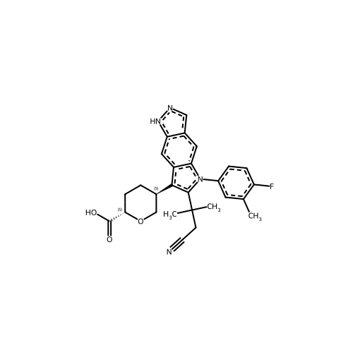 Cc1cc(-n2c(C(C)(C)CC#N)c([C@@H]3CC[C@@H](C(=O)O)OC3)c3cc4[nH]ncc4cc32)ccc1F